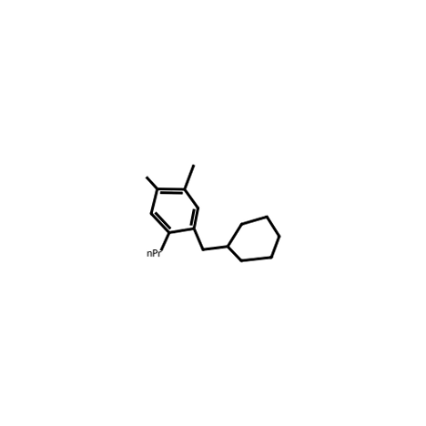 CCCc1cc(C)c(C)cc1CC1CCCCC1